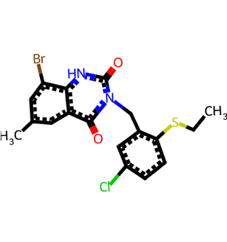 CCSc1ccc(Cl)cc1Cn1c(=O)[nH]c2c(Br)cc(C)cc2c1=O